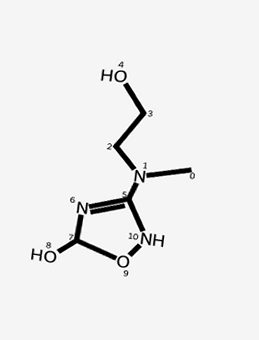 CN(CCO)C1=NC(O)ON1